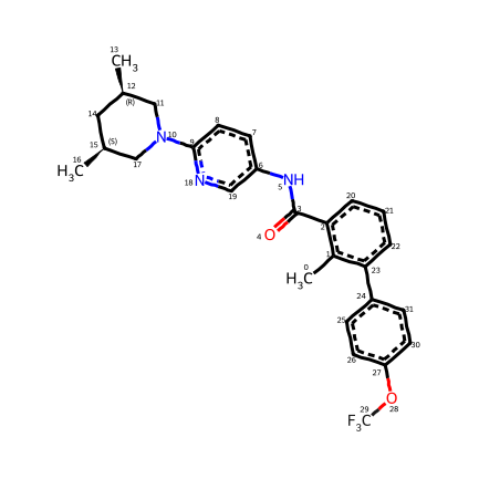 Cc1c(C(=O)Nc2ccc(N3C[C@H](C)C[C@H](C)C3)nc2)cccc1-c1ccc(OC(F)(F)F)cc1